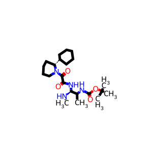 CN[C@@H](NC(=O)C(=O)N1CCCC[C@@H]1C1CCCCC1)C(C)NC(=O)OC(C)(C)C